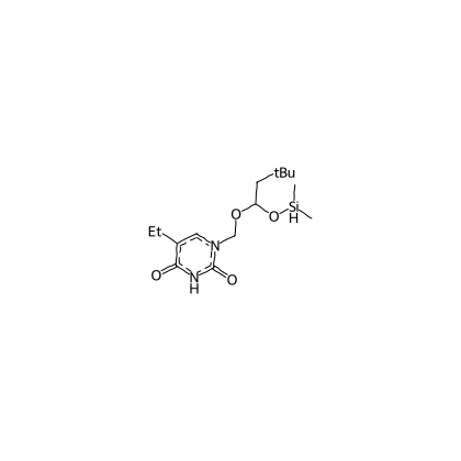 CCc1cn(COC(CC(C)(C)C)O[SiH](C)C)c(=O)[nH]c1=O